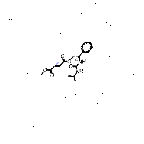 COC(=O)/C=C/C(=O)OC[C@@H](NC(=O)NC(C)C)c1ccccc1